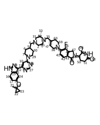 C[C@@H]1CN(CC2CCN(c3cc(-c4n[nH]c5ccc(OC6(C)CC6)cc45)ncn3)CC2)C[C@H](C)N1CC1CCN(c2ccc3c(c2F)CN(C2CCC(=O)NC2=O)C3=O)CC1